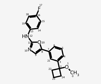 COC1(c2cccc(-c3cnc(Nc4ccc(F)cc4)o3)c2)CCC1